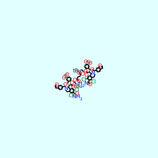 CC(C)(C)CC(OC(=O)CCC(=O)OC(CC(C)(C)C)OC(=O)[C@@H](Cc1cccc(S(C)(=O)=O)c1)C1c2cc(Cl)c(C(N)=O)c(Cl)c2CCN1C(=O)c1ccc2ccoc2c1)OC(=O)[C@@H](Cc1cccc(S(C)(=O)=O)c1)C1c2cc(Cl)c(C(N)=O)c(Cl)c2CCN1C(=O)c1ccc2ccoc2c1